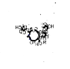 CC[C@H]1OC(=O)C[C@@H](O)[C@H](C)[C@@H](O[C@@H]2O[C@H](C)[C@@H](O[C@H]3C[C@@](C)(O)[C@@H](O)[C@H](C)O3)[C@H](N(C)C)[C@H]2O)[C@@H](CC=O)C[C@@H](C)C(=O)/C=C/C(C)=C/C1CO[C@@H]1O[C@H](C)[C@@H](O)[C@@H](OC)[C@H]1OC.I